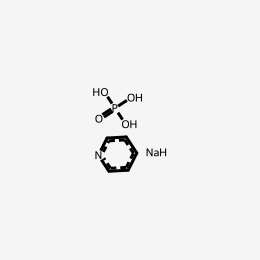 O=P(O)(O)O.[NaH].c1ccncc1